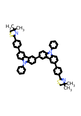 CC1(C)CSC(c2ccc(-c3ccc4c(c3)c3cc(-c5ccc6c(c5)c5cc(-c7ccc(C8=NC(C)(C)CS8)cc7)ccc5n6-c5ccccc5)ccc3n4-c3ccccc3)cc2)=N1